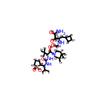 CC(C)C(NC(=O)N[C@H](C(=O)N1CC(C)C(C)(C)C[C@H]1C(=O)NC(CC1CCC1)C(=O)C(N)=O)C(C)(C)C)C1CCCS1(=O)=O